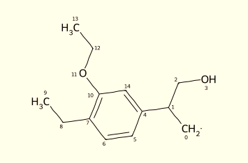 [CH2]C(CO)c1ccc(CC)c(OCC)c1